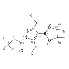 CCc1nn(C(=O)OC(C)(C)C)c(CC)c1B1OC(C)(C)C(C)(C)O1